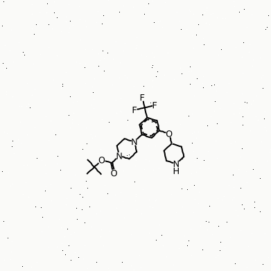 CC(C)(C)OC(=O)N1CCN(c2cc(OC3CCNCC3)cc(C(F)(F)F)c2)CC1